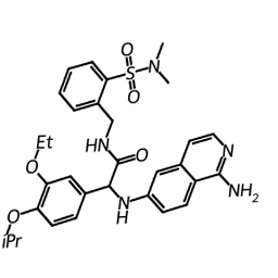 CCOc1cc(C(Nc2ccc3c(N)nccc3c2)C(=O)NCc2ccccc2S(=O)(=O)N(C)C)ccc1OC(C)C